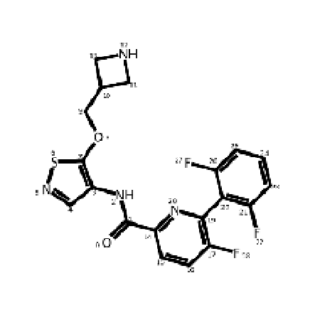 O=C(Nc1cnsc1OCC1CNC1)c1ccc(F)c(-c2c(F)cccc2F)n1